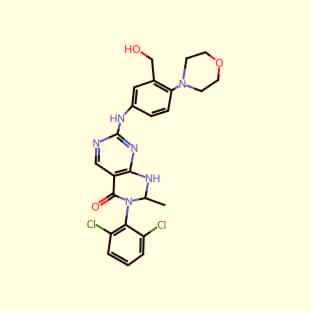 CC1Nc2nc(Nc3ccc(N4CCOCC4)c(CO)c3)ncc2C(=O)N1c1c(Cl)cccc1Cl